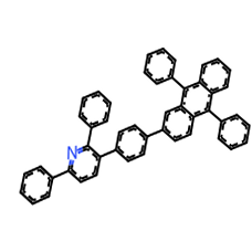 c1ccc(-c2ccc(-c3ccc(-c4ccc5c(-c6ccccc6)c6ccccc6c(-c6ccccc6)c5c4)cc3)c(-c3ccccc3)n2)cc1